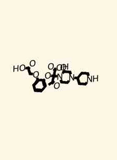 CC(=O)C(Oc1ccccc1OCC(=O)O)(C(=O)O)N1CCN(C2CCNCC2)CC1=O